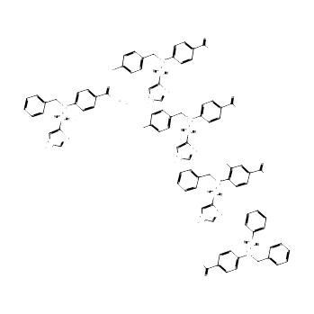 Cn1cnc(S(=O)(=O)N(Cc2ccc(Cl)cc2)c2ccc(C(=O)O)cc2)c1.Cn1cnc(S(=O)(=O)N(Cc2ccc(F)cc2)c2ccc(C(=O)O)cc2)c1.Cn1cnc(S(=O)(=O)N(Cc2ccccc2)c2ccc(C(=O)O)cc2)c1.Cn1cnc(S(=O)(=O)N(Cc2ccccc2)c2ccc(C(=O)O)cc2F)c1.O=C(O)c1ccc(N(Cc2ccccc2)S(=O)(=O)c2ccccc2)cc1